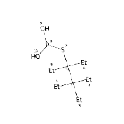 CCC(CC)(CC)C(CC)(CC)SP(O)O